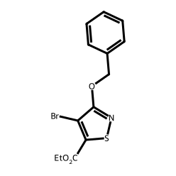 CCOC(=O)c1snc(OCc2ccccc2)c1Br